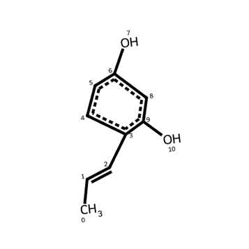 CC=Cc1ccc(O)cc1O